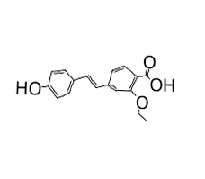 CCOc1cc(C=Cc2ccc(O)cc2)ccc1C(=O)O